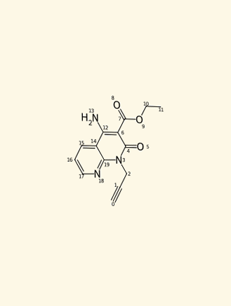 C#CCn1c(=O)c(C(=O)OCC)c(N)c2cccnc21